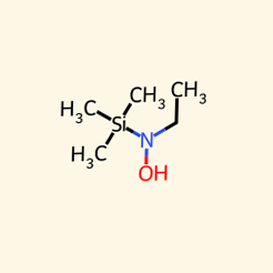 CCN(O)[Si](C)(C)C